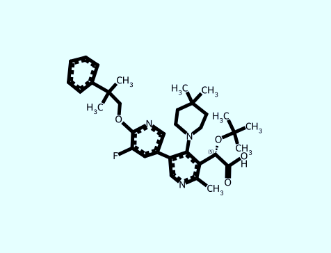 Cc1ncc(-c2cnc(OCC(C)(C)c3ccccc3)c(F)c2)c(N2CCC(C)(C)CC2)c1[C@H](OC(C)(C)C)C(=O)O